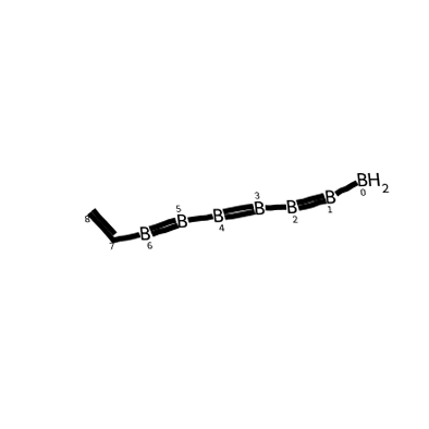 BB=BB=BB=BC=C